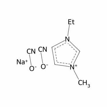 CCn1cc[n+](C)c1.N#C[O-].N#C[O-].[Na+]